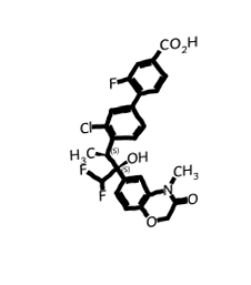 C[C@@H](c1ccc(-c2ccc(C(=O)O)cc2F)cc1Cl)[C@](O)(c1ccc2c(c1)N(C)C(=O)CO2)C(F)F